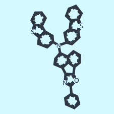 c1ccc(-c2nc3c(o2)-c2cccc4c(N(c5ccc6sc7ccccc7c6c5)c5ccc6sc7ccccc7c6c5)ccc-3c24)cc1